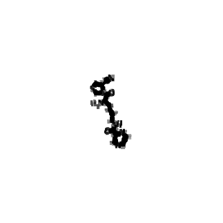 N#C[C@@H]1CSCN1C(=O)[C@@H](N)CCCCNC(=O)c1cnccn1